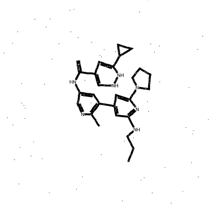 C=C(Nc1cnc(C)c(-c2cc(NCCC)nc(N3CCCC3)c2)c1)C1=CNNC(C2CC2)=C1